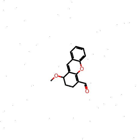 COC1CCC(C=O)=C2Oc3ccccc3C=C21